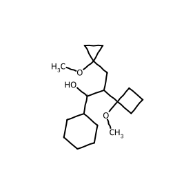 COC1(CC([C](O)C2CCCCC2)C2(OC)CCC2)CC1